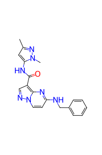 Cc1cc(NC(=O)c2cnn3ccc(NCc4ccccc4)nc23)n(C)n1